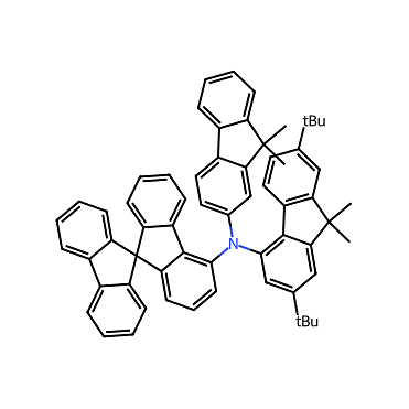 CC(C)(C)c1ccc2c(c1)C(C)(C)c1cc(C(C)(C)C)cc(N(c3ccc4c(c3)C(C)(C)c3ccccc3-4)c3cccc4c3-c3ccccc3C43c4ccccc4-c4ccccc43)c1-2